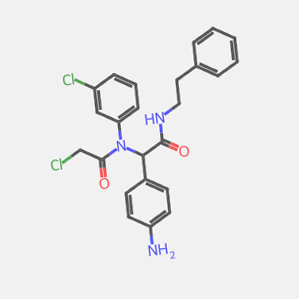 Nc1ccc(C(C(=O)NCCc2ccccc2)N(C(=O)CCl)c2cccc(Cl)c2)cc1